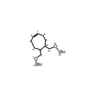 CC(C)(C)OCC1CCC=CCCC1COC(C)(C)C